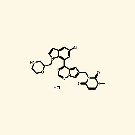 Cl.Cn1ccc(=O)n(Cc2cc3c(-c4cc(Cl)cc5ccn(C[C@@H]6CNCCO6)c45)ncnn3c2)c1=O